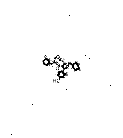 O=C1OC[C@H](Cc2ccccc2)N1C(=O)[C@@H]1CN(Cc2ccccc2)C[C@H]1c1ccc(O)cc1F